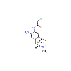 CN1CCC23CCCC[C@H]2[C@H]1Cc1cc(N)c(NC(=O)CCl)cc13